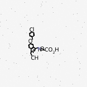 C#CCn1cc(/C=N/OCC(=O)O)c2cc(OCc3ccc(Cl)cc3)ccc21